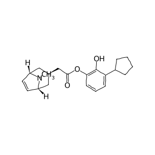 CN1[C@@H]2C=C[C@H]1C[C@H](CC(=O)Oc1cccc(C3CCCC3)c1O)C2